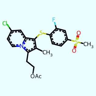 CC(=O)OCCc1c(C)c(Sc2ccc(S(C)(=O)=O)cc2F)c2cc(Cl)ccn12